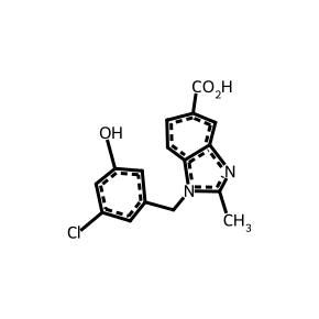 Cc1nc2cc(C(=O)O)ccc2n1Cc1cc(O)cc(Cl)c1